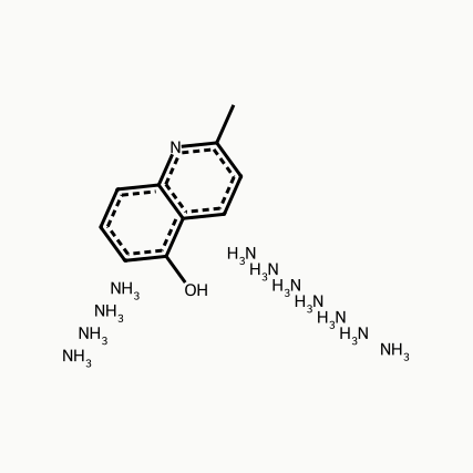 Cc1ccc2c(O)cccc2n1.N.N.N.N.N.N.N.N.N.N.N